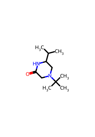 CC(C)C1CN(C(C)(C)C)CC(=O)N1